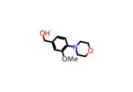 COc1cc(CO)ccc1N1CCOCC1